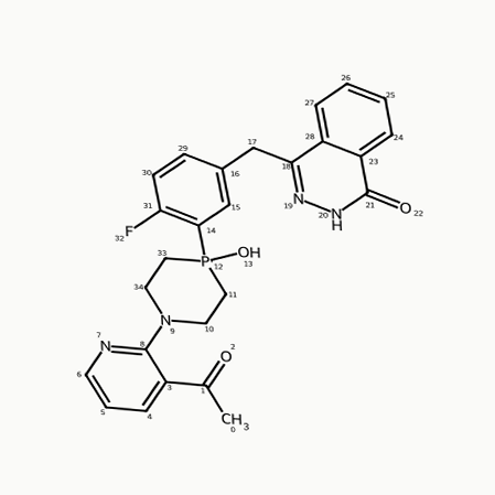 CC(=O)c1cccnc1N1CC[P](O)(c2cc(Cc3n[nH]c(=O)c4ccccc34)ccc2F)CC1